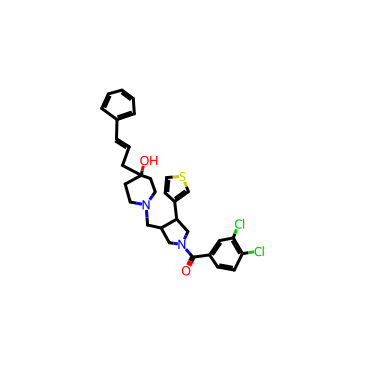 O=C(c1ccc(Cl)c(Cl)c1)N1CC(CN2CCC(O)(C/C=C/c3ccccc3)CC2)C(c2ccsc2)C1